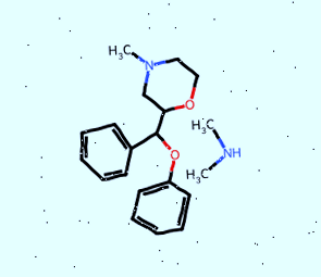 CN1CCOC(C(Oc2ccccc2)c2ccccc2)C1.CNC